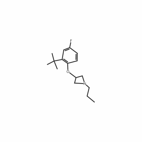 CCCN1CC(Oc2ccc(F)cc2C(C)(C)C)C1